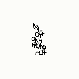 CN1CCN(Cc2ccc(C(=O)Nc3cnn4ccc(N5CCC[C@@H]5c5cc(F)ccc5F)nc34)cc2C(F)(F)F)CC1